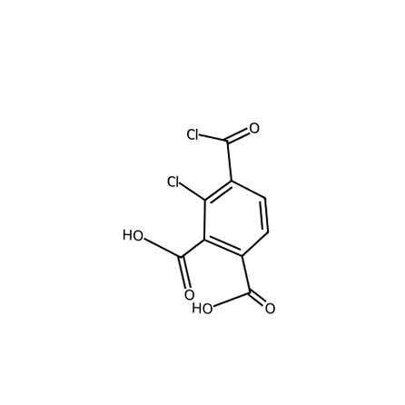 O=C(Cl)c1ccc(C(=O)O)c(C(=O)O)c1Cl